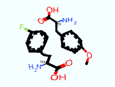 COc1ccc(C[C@H](N)C(=O)O)cc1.N[C@@H](Cc1ccc(F)cc1)C(=O)O